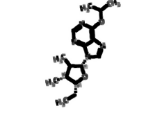 CC[C@H]1O[C@@H](n2cnc3c(OC(C)C)ncnc32)C(C)[C@H]1C